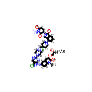 CNC(=O)COc1cc2cc(Nc3nc(N4CCN(CC5(F)CCN(c6cccc7c6CN(C6CCC(=O)NC6=O)C7=O)CC5)CC4)ncc3Cl)ccc2n(C(C)C)c1=O